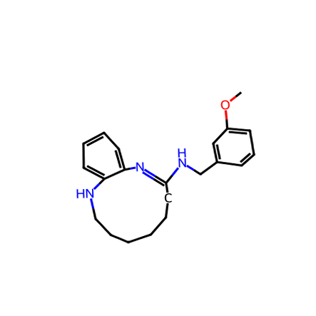 COc1cccc(CN/C2=N/c3ccccc3NCCCCCC2)c1